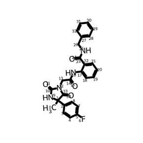 CC1(c2ccc(F)cc2)NC(=O)N(CC(=O)Nc2ccccc2C(=O)NCc2ccccc2)C1=O